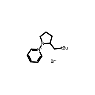 CC(C)(C)CC1CCCN1[n+]1ccccc1.[Br-]